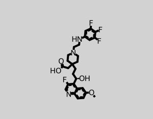 COc1ccc2ncc(F)c([C@H](O)CCC3(CC(=O)O)CCN(CCNc4cc(F)c(F)c(F)c4)CC3)c2c1